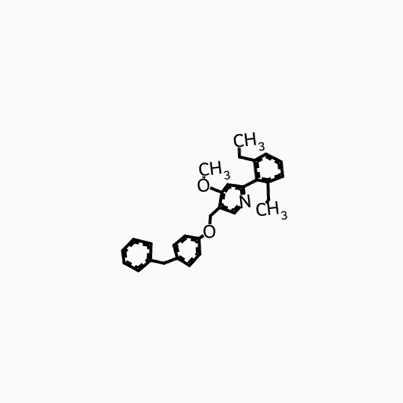 CCc1cccc(CC)c1-c1cc(OC)c(COc2ccc(Cc3ccccc3)cc2)cn1